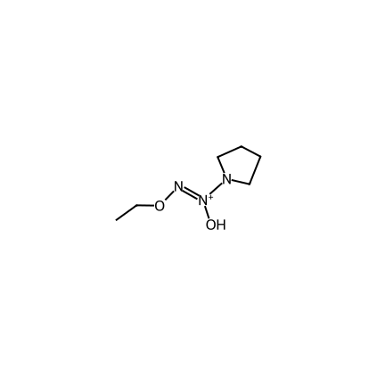 CCO/N=[N+](\O)N1CCCC1